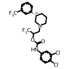 O=C(Nc1ccc(Cl)c(Cl)c1)OC(CN1CCC[C@@H](c2cccc(C(F)(F)F)c2)C1)C(F)(F)F